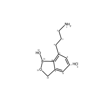 Cl.NCCCc1cccc2c1B(O)OC2